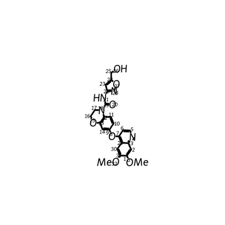 COc1cc2nccc(Oc3ccc4c(c3)OCCN4C(=O)Nc3cc(CO)on3)c2cc1OC